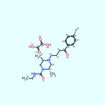 CCNC(=O)N1C[C@@H](C)N(CCCC(=O)c2ccc(F)cc2)C[C@@H]1C.O=C(O)C(=O)O